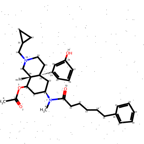 CC(=O)OC1C[C@H](N(C)C(=O)CCCCCc2ccccc2)C[C@]2(c3cccc(O)c3)CCN(CC3CC3)C[C@@H]12